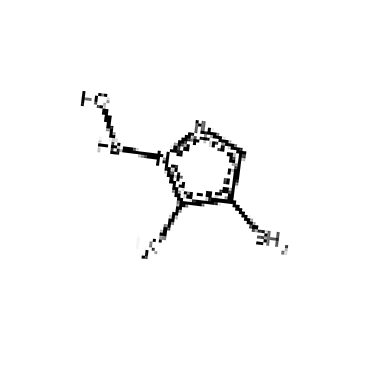 Bc1cnn(BO)c1C